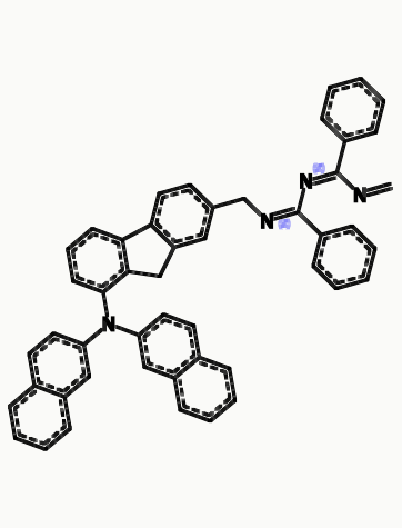 C=N/C(=N\C(=N/Cc1ccc2c(c1)Cc1c-2cccc1N(c1ccc2ccccc2c1)c1ccc2ccccc2c1)c1ccccc1)c1ccccc1